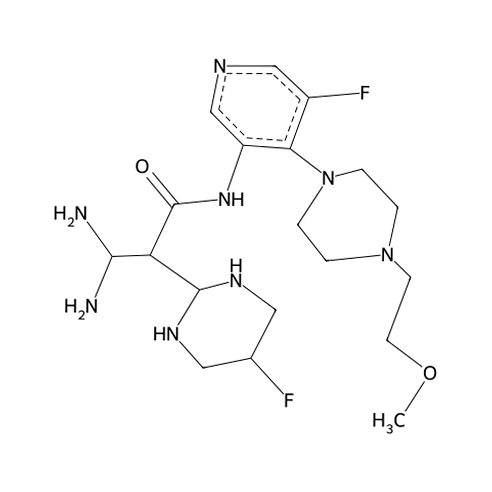 COCCN1CCN(c2c(F)cncc2NC(=O)C(C(N)N)C2NCC(F)CN2)CC1